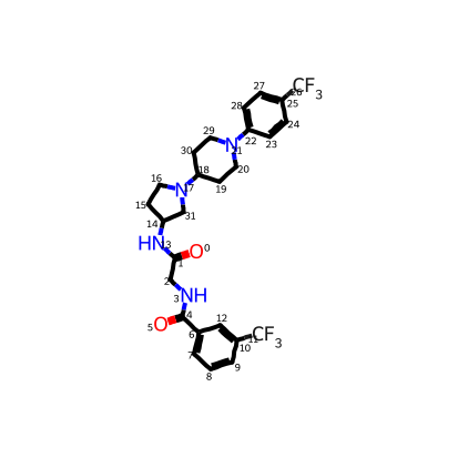 O=C(CNC(=O)c1cccc(C(F)(F)F)c1)NC1CCN(C2CCN(c3ccc(C(F)(F)F)cc3)CC2)C1